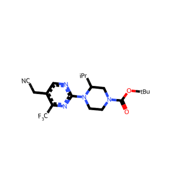 CC(C)C1CN(C(=O)OC(C)(C)C)CCN1c1ncc(CC#N)c(C(F)(F)F)n1